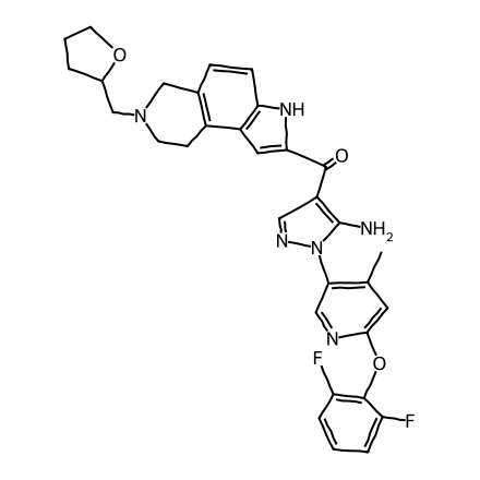 Cc1cc(Oc2c(F)cccc2F)ncc1-n1ncc(C(=O)c2cc3c4c(ccc3[nH]2)CN(CC2CCCO2)CC4)c1N